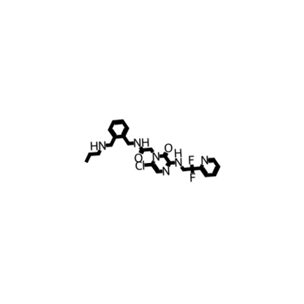 CCCNCc1ccccc1CNC(=O)Cn1c(Cl)cnc(NCC(F)(F)c2ccccn2)c1=O